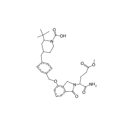 COC(=O)CCC(C(N)=O)N1Cc2c(OCc3ccc(CC4CCN(C(=O)O)C(C(C)(C)C)C4)cc3)cccc2C1=O